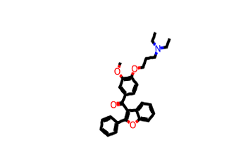 CCN(CC)CCCOc1ccc(C(=O)c2c(-c3ccccc3)oc3ccccc23)cc1OC